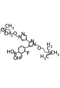 C[Si](C)(C)CCOCn1cc(-c2nn(COCC[Si](C)(C)C)cc2-c2ccc(B(O)O)c(F)c2F)cn1